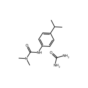 CC(C)c1ccc(NC(=O)N(C)C)cc1.NC(N)=O